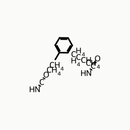 C.C.C.C.C.C.Cc1ccccc1.N=C=O.N=C=O